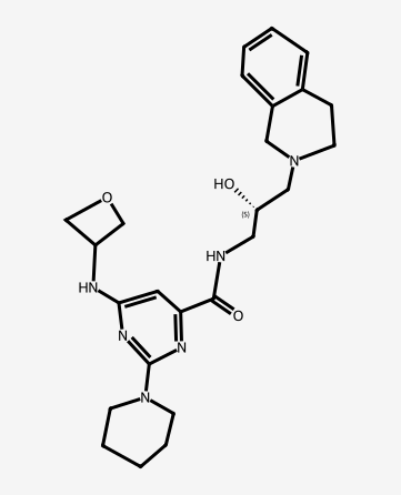 O=C(NC[C@H](O)CN1CCc2ccccc2C1)c1cc(NC2COC2)nc(N2CCCCC2)n1